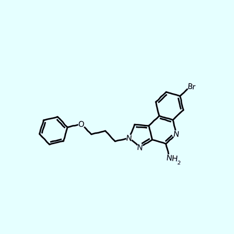 Nc1nc2cc(Br)ccc2c2cn(CCCOc3ccccc3)nc12